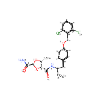 CC(C)(C)[C@H]1OC(C(N)=O)O[C@H]1C(=O)N[C@@H](Cc1ccc(OCc2c(Cl)cccc2Cl)cc1)C(=O)O